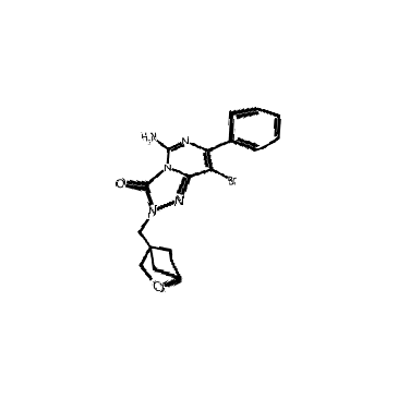 Nc1nc(-c2ccccc2)c(Br)c2nn(CC34COC(C3)C4)c(=O)n12